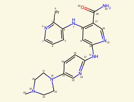 CC(C)c1ncccc1Nc1cc(Nc2ccc(N3CCN(C)CC3)cn2)ncc1C(N)=O